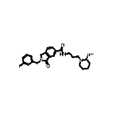 CCCC1CCCCN1CCCNC(=O)c1ccc2c(c1)C(=O)N(Cc1cccc(I)c1)C2